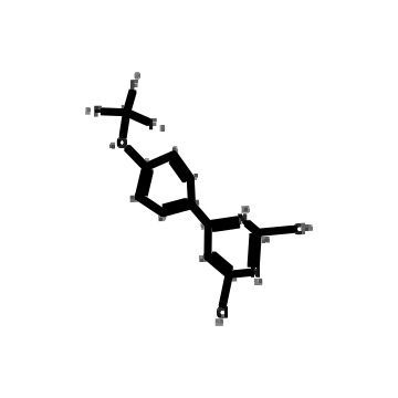 FC(F)(F)Oc1ccc(-c2cc(Cl)nc(Cl)n2)cc1